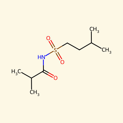 CC(C)CCS(=O)(=O)NC(=O)C(C)C